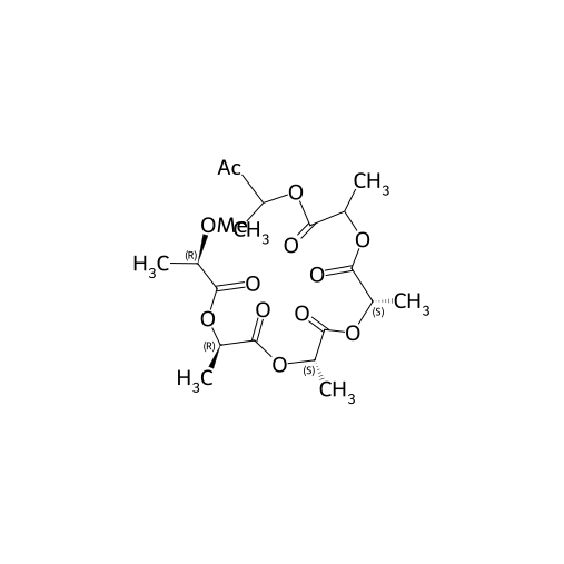 CO[C@H](C)C(=O)O[C@H](C)C(=O)O[C@@H](C)C(=O)O[C@@H](C)C(=O)OC(C)C(=O)OC(C)C(C)=O